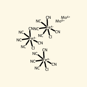 N#[C][Fe-4]([Cl])([C]#N)([C]#N)([C]#N)[C]#N.N#[C][Fe-4]([Cl])([C]#N)([C]#N)([C]#N)[C]#N.N#[C][Fe-4]([Cl])([C]#N)([C]#N)([C]#N)[C]#N.[Mo+6].[Mo+6]